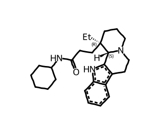 CC[C@]1(CCC(=O)NC2CCCCC2)CCCN2CCc3c([nH]c4ccccc34)[C@@H]21